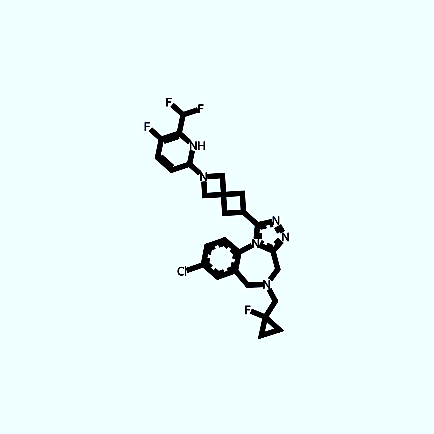 FC1=C(C(F)F)NC(N2CC3(CC(c4nnc5n4-c4ccc(Cl)cc4CN(CC4(F)CC4)C5)C3)C2)C=C1